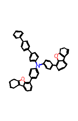 C1=Cc2c(oc3c(-c4ccc(N(c5ccc(-c6ccc(-c7ccccc7)cc6)cc5)c5ccc(-c6cccc7c8c(oc67)CCCC8)cc5)cc4)cccc23)CC1